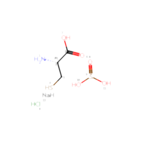 Cl.N[C@@H](CS)C(=O)O.O=S(O)O.[NaH]